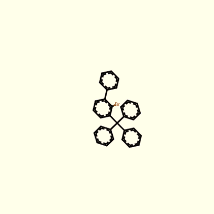 Brc1c(-c2ccccc2)cccc1C(c1ccccc1)(c1ccccc1)c1ccccc1